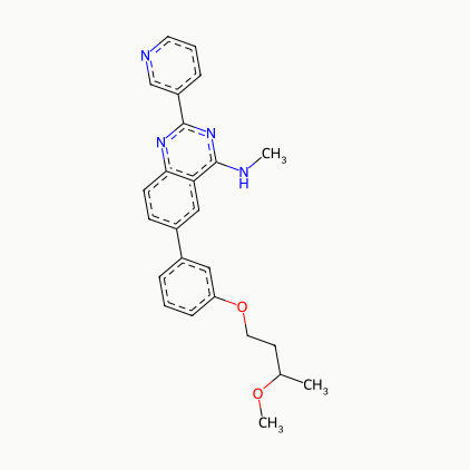 CNc1nc(-c2cccnc2)nc2ccc(-c3cccc(OCCC(C)OC)c3)cc12